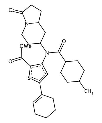 COC(=O)c1sc(C2=CCCCC2)cc1N(C(=O)C1CCC(C)CC1)C1CCN2C(=O)CCC2C1